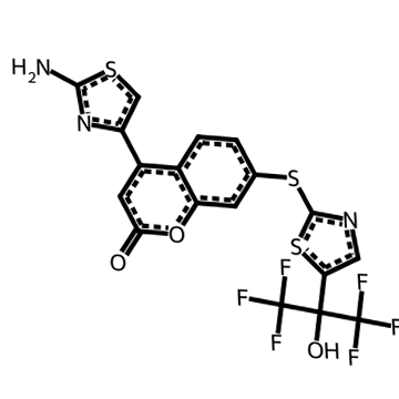 Nc1nc(-c2cc(=O)oc3cc(Sc4ncc(C(O)(C(F)(F)F)C(F)(F)F)s4)ccc23)cs1